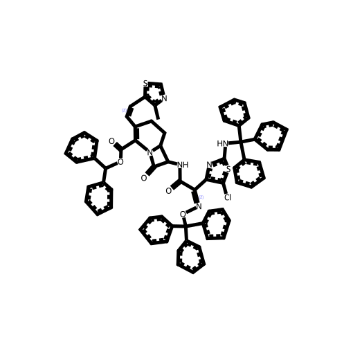 Cc1ncsc1/C=C\C1=C(C(=O)OC(c2ccccc2)c2ccccc2)N2C(=O)C(NC(=O)/C(=N\OC(c3ccccc3)(c3ccccc3)c3ccccc3)c3nc(NC(c4ccccc4)(c4ccccc4)c4ccccc4)sc3Cl)C2CC1